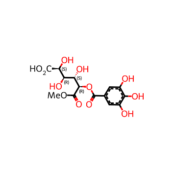 COC(=O)[C@H](OC(=O)c1cc(O)c(O)c(O)c1)[C@@H](O)[C@@H](O)[C@H](O)C(=O)O